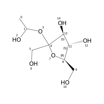 CC(O)OC1(CO)O[C@H](CO)[C@@H](O)[C@@H]1O